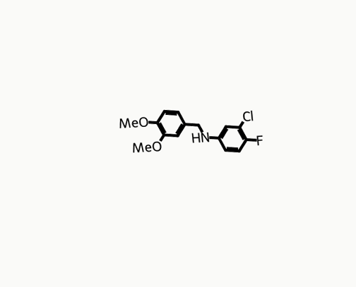 COc1ccc(CNc2ccc(F)c(Cl)c2)cc1OC